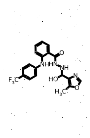 Cc1ocnc1C(O)NNC(=O)c1ccccc1Nc1ccc(C(F)(F)F)cc1